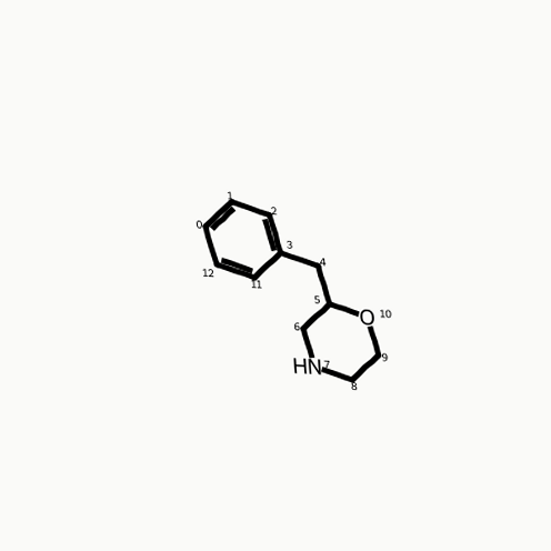 [c]1ccc(CC2CNCCO2)cc1